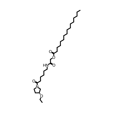 CCCCCCCCCCCCCCCC(=O)OCC(=O)NCCCCCC(=O)N1CC[C@H](OCC)C1